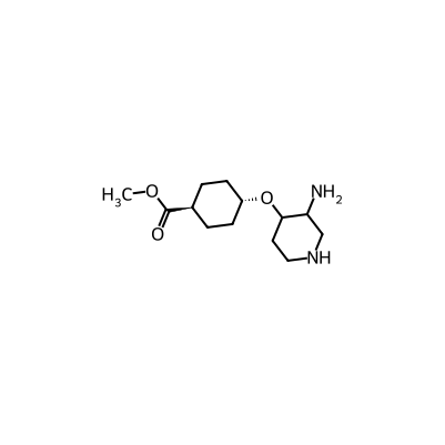 COC(=O)[C@H]1CC[C@H](OC2CCNCC2N)CC1